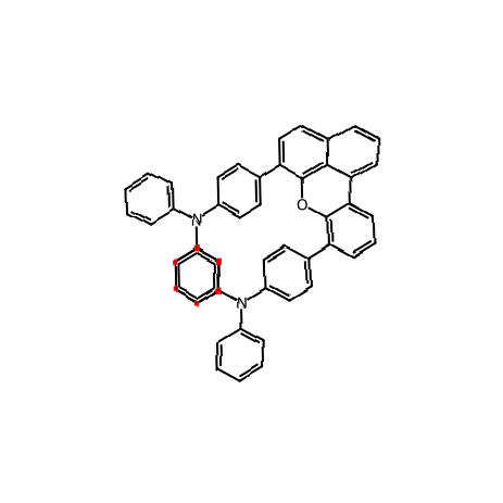 c1ccc(N(c2ccccc2)c2ccc(-c3cccc4c3Oc3c(-c5ccc(N(c6ccccc6)c6ccccc6)cc5)ccc5cccc-4c35)cc2)cc1